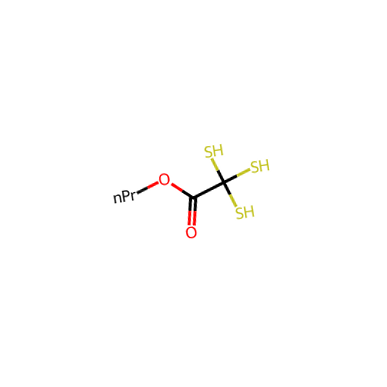 CCCOC(=O)C(S)(S)S